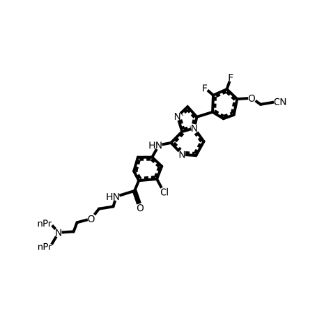 CCCN(CCC)CCOCCNC(=O)c1ccc(Nc2nccn3c(-c4ccc(OCC#N)c(F)c4F)cnc23)cc1Cl